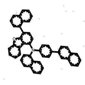 c1ccc2cc(-c3ccc(N(c4cccc5ccccc45)c4ccc(-c5cccc6ccccc56)c5oc6ccccc6c45)cc3)ccc2c1